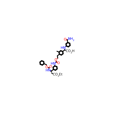 CCOC(=O)C[C@@H](NC(=O)OCc1ccccc1)c1cccc(NC(=O)OCCc2ccc(C(Nc3cccc(C(N)=O)c3)C(=O)O)cc2C)c1